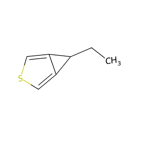 CCC1c2cscc21